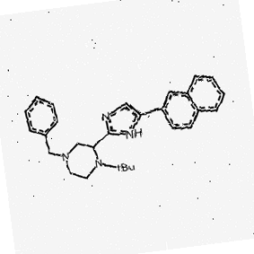 CC(C)(C)N1CCN(Cc2ccccc2)CC1c1ncc(-c2ccc3ccccc3c2)[nH]1